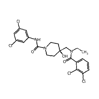 CCN(CC1(O)CCN(C(=O)Nc2cc(Cl)cc(Cl)c2)CC1)C(=O)c1cccc(Cl)c1Cl